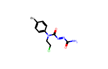 CCC(C)c1ccc(N(CCCl)C(=O)N=NC(N)=O)cc1